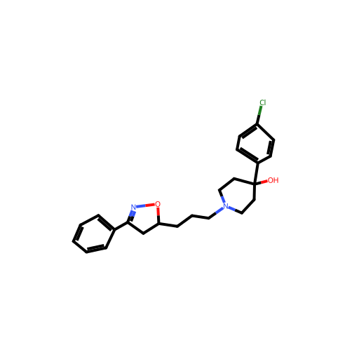 OC1(c2ccc(Cl)cc2)CCN(CCCC2CC(c3ccccc3)=NO2)CC1